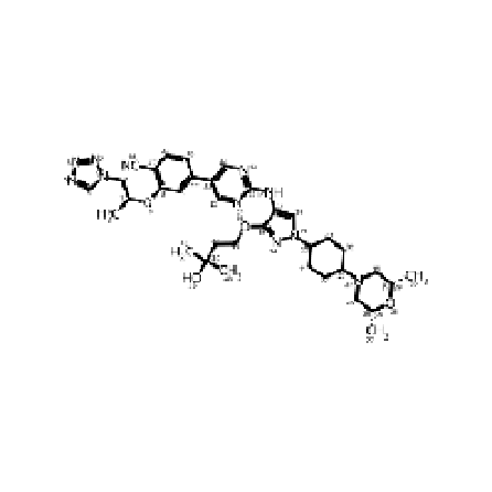 CC(Cn1cnnn1)Oc1cc(-c2cnc(Nc3cn(C4CCC(N5C[C@@H](C)O[C@@H](C)C5)CC4)nc3OCCC(C)(C)O)nc2)ccc1C#N